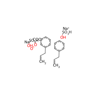 C=CCc1ccccc1.C=CCc1ccccc1.O=C([O-])O[O-].O=S(=O)(O)O.O=S(=O)(O)O.[Na+].[Na+]